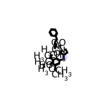 CN(OCc1ccccc1)C(=O)N1CC/C(=C/c2cc(C(C)(C)C)c(O)c(C(C)(C)C)c2)C1=O